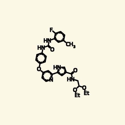 CCOC(CNC(=O)c1c[nH]c(-c2cc(Oc3ccc(NC(=O)Nc4cc(C)ccc4F)cc3)ccn2)c1)OCC